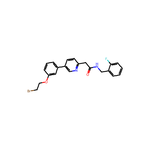 O=C(Cc1ccc(-c2cccc(OCCBr)c2)cn1)NCc1ccccc1F